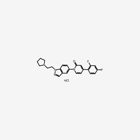 Cl.O=c1cc(-c2ccc(F)cc2F)ccn1-c1ccc2c(cnn2CCN2CCCC2)c1